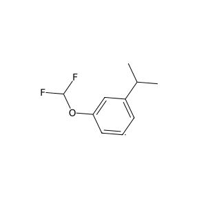 CC(C)c1c[c]cc(OC(F)F)c1